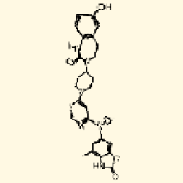 Cc1cc([S+]([O-])c2cc(N3CCC(N4CCc5cc(O)ccc5NC4=O)CC3)ncn2)cc2oc(=O)[nH]c12